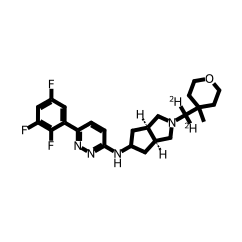 [2H]C([2H])(N1C[C@H]2CC(Nc3ccc(-c4cc(F)cc(F)c4F)nn3)C[C@H]2C1)C1(C)CCOCC1